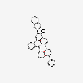 C1=Cc2cc3oc4ccc(-c5ccccc5N(c5ccccc5)c5ccccc5-c5ccc(-c6ccccc6)cc5)cc4c3cc2CC1